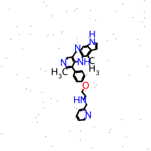 Cc1ncc(C#N)c(Nc2ccc3[nH]ccc3c2C)c1-c1ccc(OCCNCc2ccccn2)cc1